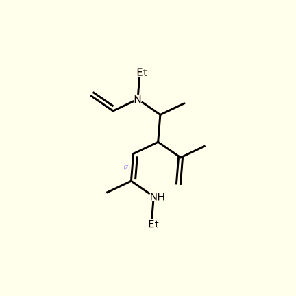 C=CN(CC)C(C)C(/C=C(/C)NCC)C(=C)C